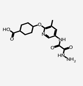 Cc1cc(NC(=O)C(=O)NN)cnc1OC1CCC(C(=O)O)CC1